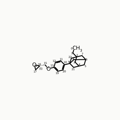 CCC12CC3CC(C1)CC(c1ccc(OC[C@@H]4CO4)cc1)(C3)C2